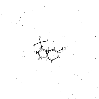 CC(C)(C)c1nnc2ccc(Cl)cn12